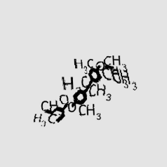 C\C=C/C=C(\C=C/C)C(=O)Oc1ccc(C(C)(C)c2ccc(OC(C)(C)CC)c(C)c2)cc1C